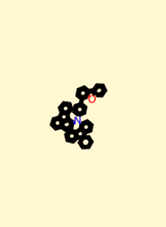 c1ccc2c(c1)-c1cccc3ccc(N(c4ccc(-c5cccc6c5oc5ccccc56)cc4)c4cccc5c4-c4ccccc4C54CCCCC4)c-2c13